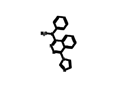 CN(c1ccccc1)c1nnc(-n2ccnc2)c2ccccc12